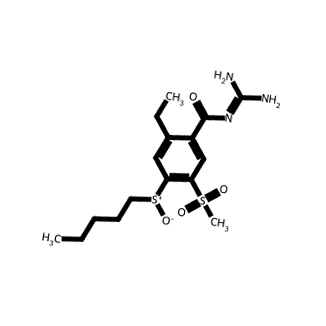 CCCCC[S+]([O-])c1cc(CC)c(C(=O)N=C(N)N)cc1S(C)(=O)=O